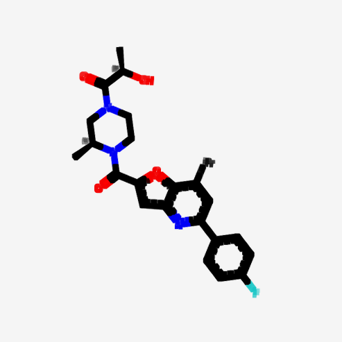 CC(C)c1cc(-c2ccc(F)cc2)nc2cc(C(=O)N3CCN(C(=O)[C@@H](C)O)C[C@@H]3C)oc12